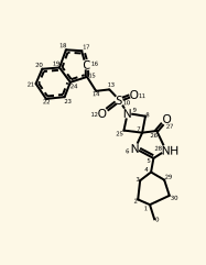 CC1CCC(C2=NC3(CN(S(=O)(=O)CCc4cccc5ccccc45)C3)C(=O)N2)CC1